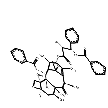 CC(=O)O[C@H]1C(=O)[C@@]2(C)[C@H]([C@H](OC(=O)c3ccccc3)C3[C@@H](O)[C@H](OC(=O)[C@H](O)[C@@H](NC(=O)c4ccccc4)c4ccccc4)C(C)=C1C3(C)C)[C@]1(OC(C)=O)CO[C@@H]1C[C@@H]2O